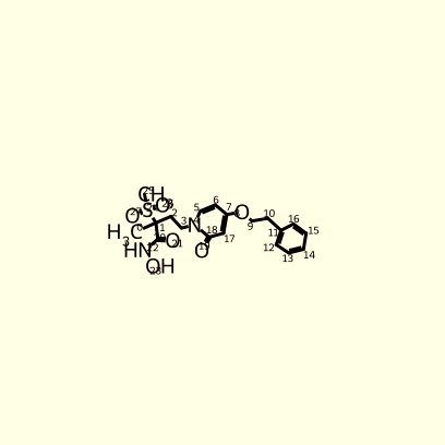 CC(CCn1ccc(OCCc2ccccc2)cc1=O)(C(=O)NO)S(C)(=O)=O